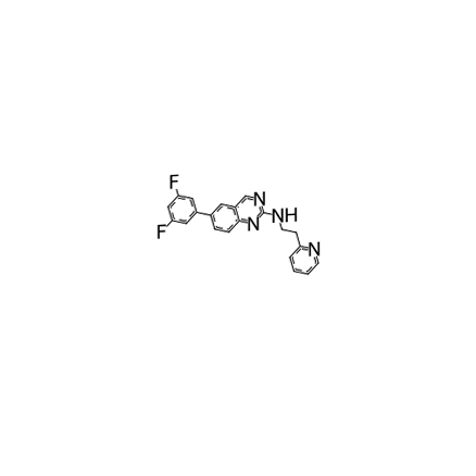 Fc1cc(F)cc(-c2ccc3nc(NCCc4ccccn4)ncc3c2)c1